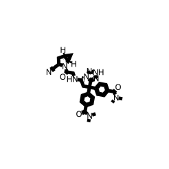 C[C@@H](CC(c1ccc(C(=O)N(C)C)cc1)(c1ccc(C(=O)N(C)C)cc1)c1nn[nH]n1)NCC(=O)N1C(C#N)C[C@@H]2C[C@@H]21